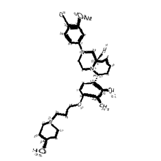 COc1cc(N2CCN3[C@@H](CCC[C@@H]3c3ccc(OCCCN4CCC(O)CC4)c(C)c3C)C2)ccc1Cl